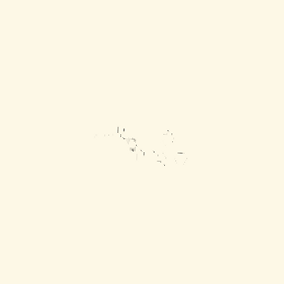 CC(C)(C)OC(=O)N1C[C@@H]2C[C@H]1CN2C(=O)Cn1cnc(-c2ccc(F)cc2)c1-c1ccncc1